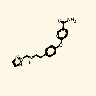 NC(=O)c1ccc(Oc2ccc(CCNCn3nccn3)cc2)nc1